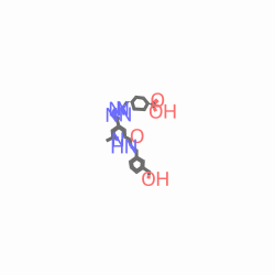 Cc1cc(-c2nnn(C[C@H]3CC[C@H](C(=O)O)CC3)n2)cc(C(=O)NCc2cccc(CO)c2)n1